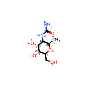 C[C@H]1OC(CO)[C@H](O)[C@H](O)C1NC(N)=O